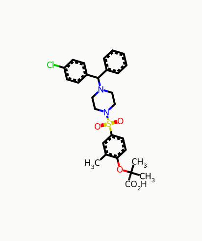 Cc1cc(S(=O)(=O)N2CCN(C(c3ccccc3)c3ccc(Cl)cc3)CC2)ccc1OC(C)(C)C(=O)O